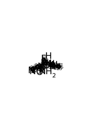 NC(=O)c1nn(CC(=O)N2CC(F)CC2C(=O)NC2=NC3=NC(c4ccccc4)CN3C=C2)c2ccc(-c3ccnnc3)cc12